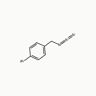 CC(C)c1ccc(CN=[N+]=[N-])cc1